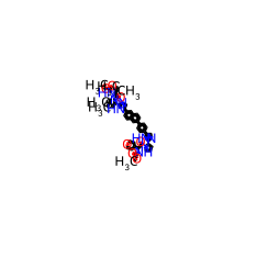 COC(=O)N[C@H](C(=O)N1C[Si](C)(C)C[C@H]1c1ncc(-c2ccc3cc(-c4ccc(-c5cnc([C@@H]6CCCN6C(=O)[C@@H](NC(=O)OC)C6CCOCC6)[nH]5)cc4)ccc3c2)[nH]1)C(C)C